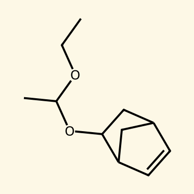 CCOC(C)OC1CC2C=CC1C2